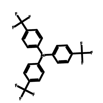 FC(F)(F)c1cc[c]([Au]([c]2ccc(C(F)(F)F)cc2)[c]2ccc(C(F)(F)F)cc2)cc1